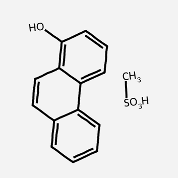 CS(=O)(=O)O.Oc1cccc2c1ccc1ccccc12